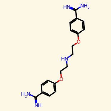 N=C(N)c1ccc(OCCNCCOc2ccc(C(=N)N)cc2)cc1